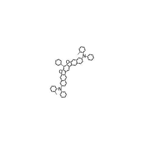 Cc1ccccc1N(c1ccccc1)c1ccc2cc3c(cc2c1)oc1c(-c2ccccc2)c2oc4cc5cc(N(c6ccccc6)c6ccccc6C)ccc5cc4c2cc13